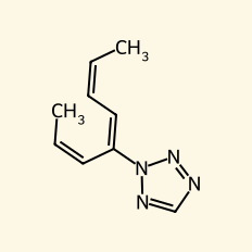 C\C=C/C=C(\C=C/C)n1ncnn1